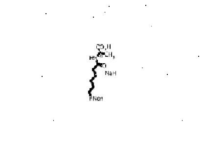 CCCCCCCCCCCCCCC(=O)N[C@@H](C)C(=O)O.[NaH]